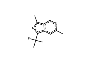 Cc1cn2c(C(F)(F)F)nc(C)c2cn1